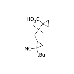 CC(C)(C)C1(C#N)CC1CC(C)(C)C1(C(=O)O)CC1